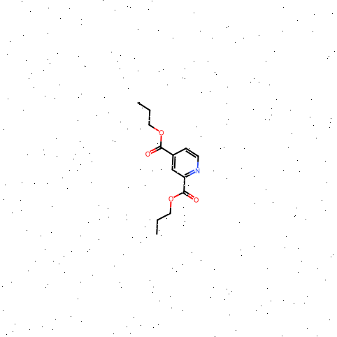 CCCOC(=O)c1ccnc(C(=O)OCCC)c1